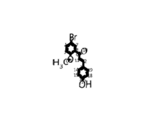 COc1ccc(Br)cc1C(=O)/C=C/c1ccc(O)cc1